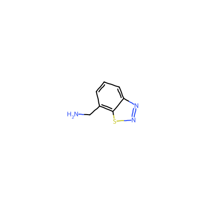 NCc1cccc2nnsc12